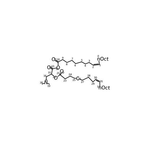 CCCCCCCC/C=C\CCCCCCCC(=O)OC(=O)C(CN(C)C)OC(=O)CCCCCCC/C=C\CCCCCCCC